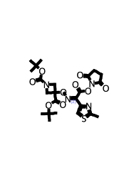 Cc1nc(/C(=N/OC2(C(=O)OC(C)(C)C)CN(C(=O)OC(C)(C)C)C2)C(=O)ON2C(=O)CCC2=O)cs1